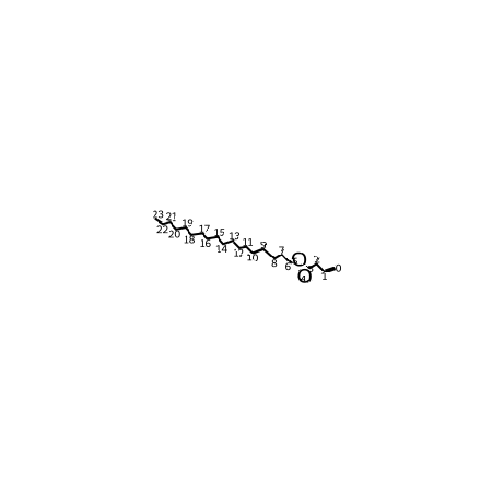 C=CCC(=O)OCCCCCCCCCCCCCCCCCC